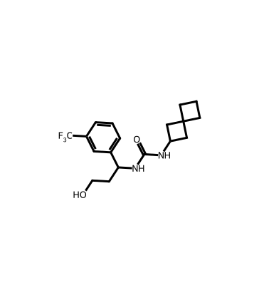 O=C(NC1CC2(CCC2)C1)NC(CCO)c1cccc(C(F)(F)F)c1